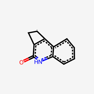 O=c1[nH]c2ccccc2c2c1C[CH]2